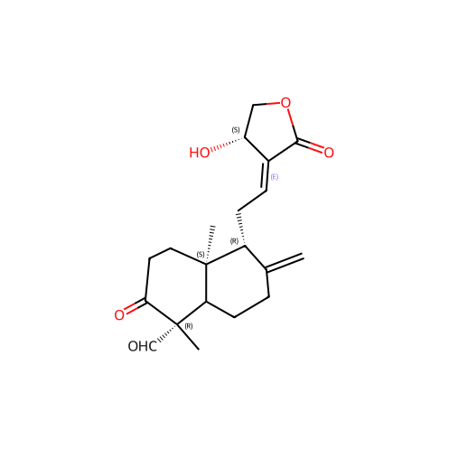 C=C1CCC2[C@](C)(C=O)C(=O)CC[C@@]2(C)[C@@H]1C/C=C1/C(=O)OC[C@H]1O